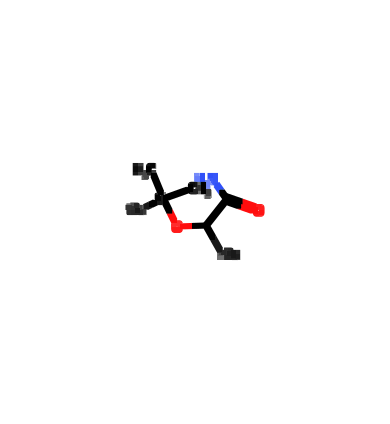 CCCCC(O[Si](C)(C)C(C)(C)C)C(N)=O